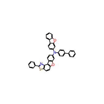 c1ccc(-c2ccc(N(c3ccc4c(c3)oc3ccccc34)c3ccc4c(c3)oc3ccc5sc(-c6ccccc6)nc5c34)cc2)cc1